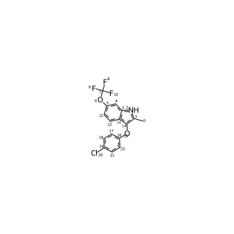 Cc1[nH]c2cc(OC(F)(F)F)ccc2c1Oc1ccc(Cl)cc1